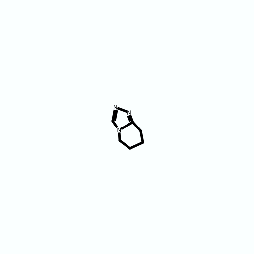 [c]1nnc2n1CCCC2